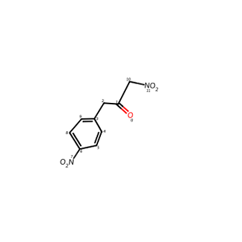 O=C(Cc1ccc([N+](=O)[O-])cc1)C[N+](=O)[O-]